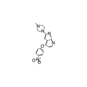 CN1CCN(c2cc3c(Oc4ccc([N+](=O)[O-])cc4)ccnc3cn2)CC1